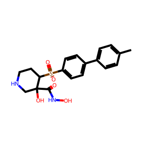 Cc1ccc(-c2ccc(S(=O)(=O)C3CCNCC3(O)C(=O)NO)cc2)cc1